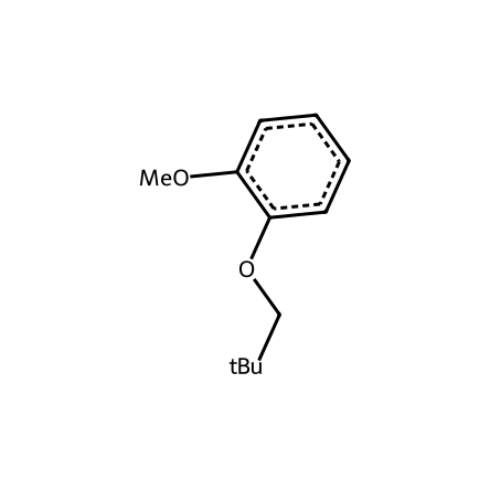 COc1ccccc1OCC(C)(C)C